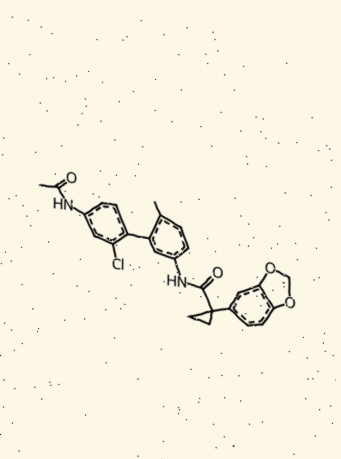 CC(=O)Nc1ccc(-c2cc(NC(=O)C3(c4ccc5c(c4)OCO5)CC3)ccc2C)c(Cl)c1